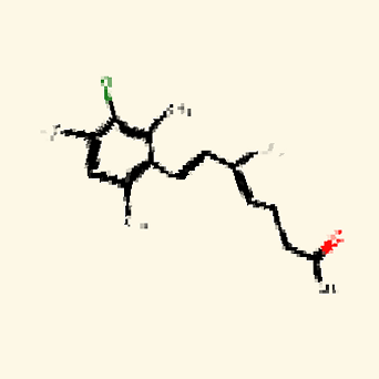 CC(=O)CCC=C(C)C=Cc1c(C)cc(C)c(Cl)c1C